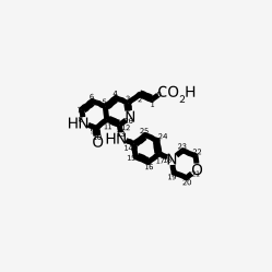 O=C(O)C=Cc1cc2cc[nH]c(=O)c2c(Nc2ccc(N3CCOCC3)cc2)n1